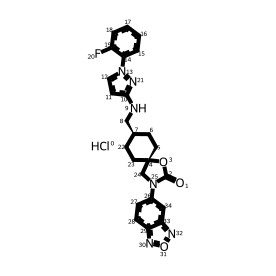 Cl.O=C1O[C@]2(CC[C@H](CNc3ccn(-c4ccccc4F)n3)CC2)CN1c1ccc2nonc2c1